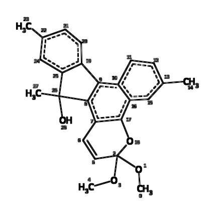 COC1(OC)C=Cc2c3c(c4ccc(C)cc4c2O1)-c1ccc(C)cc1C3(C)O